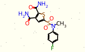 CN(c1ccc(F)cc1)S(=O)(=O)c1cc(C(N)=O)c(C(N)=O)s1